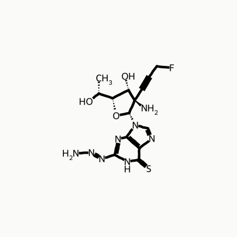 C[C@@H](O)[C@H]1O[C@@H](n2cnc3c(=S)[nH]c(N=NN)nc32)[C@@](N)(C#CCF)[C@H]1O